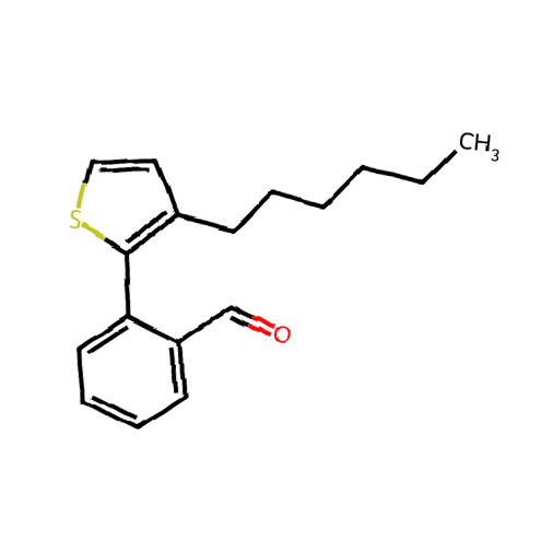 CCCCCCc1ccsc1-c1ccccc1C=O